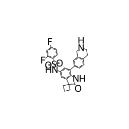 O=C1Nc2c(-c3ccc4c(c3)CNCC4)cc(NS(=O)(=O)c3ccc(F)cc3F)cc2C12CCC2